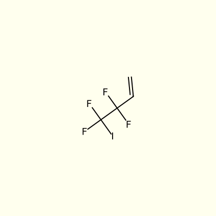 C=CC(F)(F)C(F)(F)I